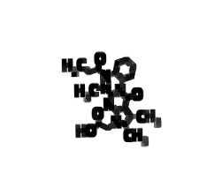 C=CC(=O)Nc1ccccc1-n1c(CC)nc2c(c(C)c(C)n2CC(=O)O)c1=O